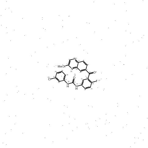 COc1cnc2ccc(C(=O)c3cc(NC(=O)Nc4cccc(Cl)c4)ccc3F)cc2n1